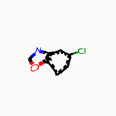 Clc1ccc2ocnc2c1